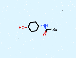 CC(C)(C)C(=O)N[C@H]1CC[C@@H](O)CC1